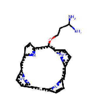 NC(N)CCOc1c2nc(cc3ccc(cc4nc(cc5ccc1[nH]5)C=C4)[nH]3)C=C2